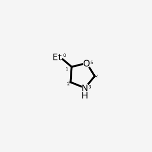 CCC1CNCO1